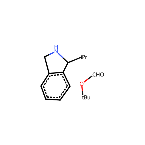 CC(C)(C)OC=O.CC(C)C1NCc2ccccc21